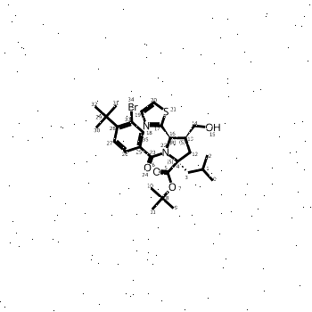 CC(C)C[C@@]1(C(=O)OC(C)(C)C)C[C@H](CO)[C@H](c2nccs2)N1C(=O)c1ccc(C(C)(C)C)c(Br)c1